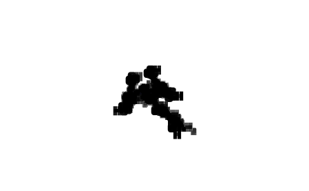 CC(C)(C(=O)/C=C/C1=C(Oc2ccc(CCNC(=O)c3ccc(NCc4cnc5nc(N)[nH]c(=O)c5n4)cc3)cc2)C(=C/C=C2/N(CCCCS(=O)(=O)O)c3ccc4cc(S(=O)(=O)O)ccc4c3C2(C)C)/CCC1)c1c(NCCCCS(=O)(=O)O)ccc2cc(S(=O)(=O)O)ccc12